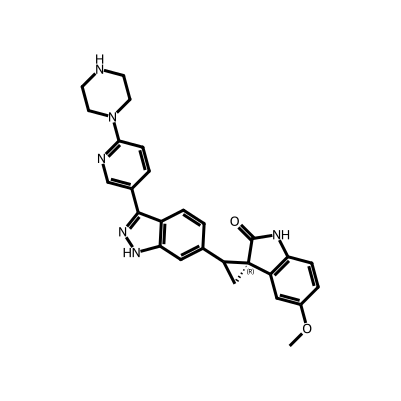 COc1ccc2c(c1)[C@]1(CC1c1ccc3c(-c4ccc(N5CCNCC5)nc4)n[nH]c3c1)C(=O)N2